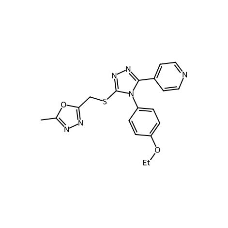 CCOc1ccc(-n2c(SCc3nnc(C)o3)nnc2-c2ccncc2)cc1